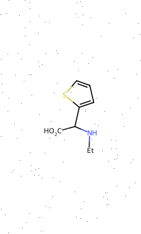 CCNC(C(=O)O)c1cccs1